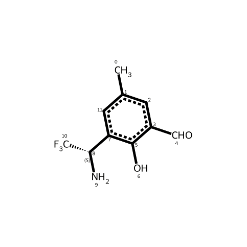 Cc1cc(C=O)c(O)c([C@H](N)C(F)(F)F)c1